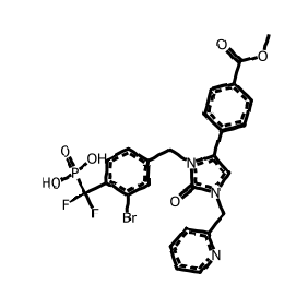 COC(=O)c1ccc(-c2cn(Cc3ccccn3)c(=O)n2Cc2ccc(C(F)(F)P(=O)(O)O)c(Br)c2)cc1